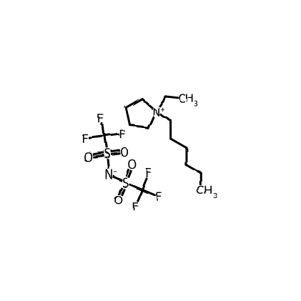 CCCCCC[N+]1(CC)CCCC1.O=S(=O)([N-]S(=O)(=O)C(F)(F)F)C(F)(F)F